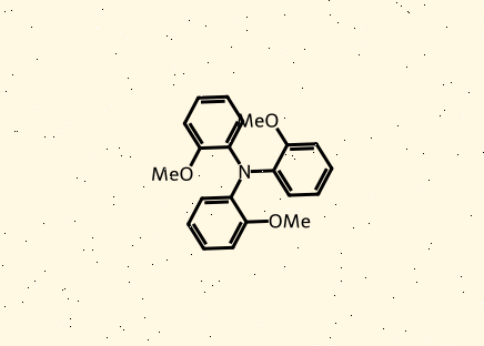 COc1ccccc1N(c1ccccc1OC)c1ccccc1OC